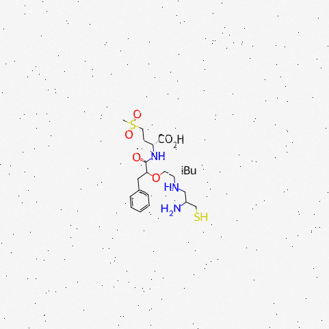 CC[C@H](C)C(COC(Cc1ccccc1)C(=O)N[C@H](CCS(C)(=O)=O)C(=O)O)NCC(N)CS